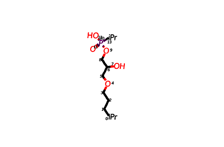 CC(C)CCCOCC(O)COP(=O)(O)C(C)C